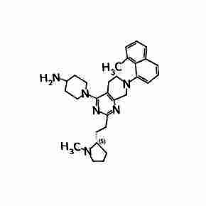 Cc1cccc2cccc(N3CCc4c(nc(CC[C@@H]5CCCN5C)nc4N4CCC(N)CC4)C3)c12